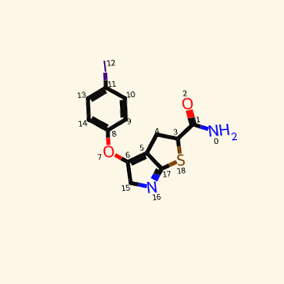 NC(=O)C1CC2=C(Oc3ccc(I)cc3)CN=C2S1